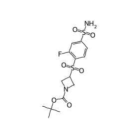 CC(C)(C)OC(=O)N1CC(S(=O)(=O)c2ccc(S(N)(=O)=O)cc2F)C1